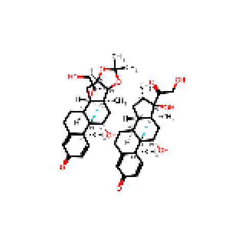 CC1(C)O[C@@H]2C[C@H]3[C@@H]4CCC5=CC(=O)C=C[C@]5(C)[C@@]4(F)[C@@H](O)C[C@]3(C)[C@]2(C(=O)CO)O1.C[C@H]1C[C@H]2[C@@H]3CCC4=CC(=O)C=C[C@]4(C)[C@@]3(F)[C@@H](O)C[C@]2(C)[C@@]1(O)C(=O)CO